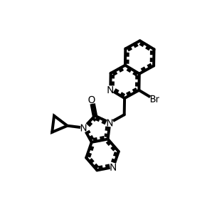 O=c1n(Cc2ncc3ccccc3c2Br)c2cnccc2n1C1CC1